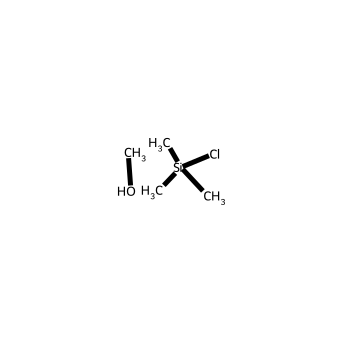 CO.C[Si](C)(C)Cl